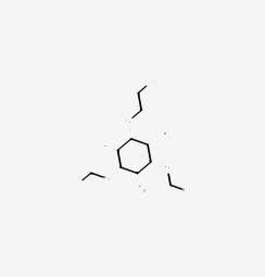 O=C(O)CN[C@@H]1[C@H](O)[C@H](NCC(=O)O)[C@H](O)[C@H](NCCO)[C@@H]1O